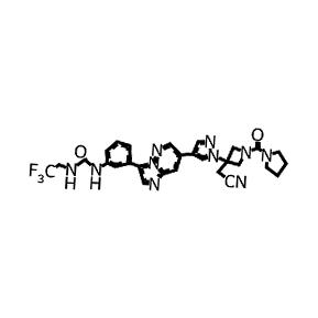 N#CCC1(n2cc(-c3cnn4c(-c5cccc(NC(=O)NCC(F)(F)F)c5)cnc4c3)cn2)CN(C(=O)N2CCCC2)C1